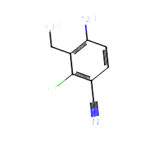 CCc1c(N)ccc(C#N)c1Cl